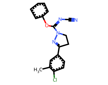 Cc1cc(C2=NN(/C(=N\C#N)Oc3ccccc3)CC2)ccc1Cl